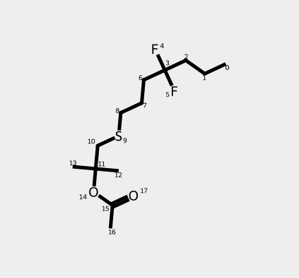 CCCC(F)(F)CCCSCC(C)(C)OC(C)=O